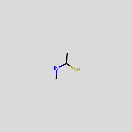 CNC(C)S